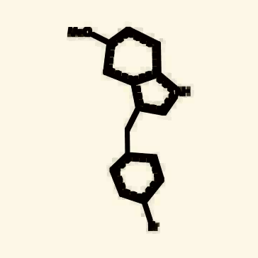 COc1ccc2[nH]cc(Cc3ccc(Br)cc3)c2c1